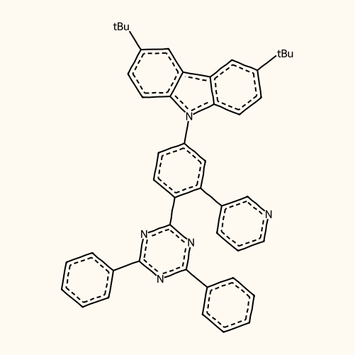 CC(C)(C)c1ccc2c(c1)c1cc(C(C)(C)C)ccc1n2-c1ccc(-c2nc(-c3ccccc3)nc(-c3ccccc3)n2)c(-c2cccnc2)c1